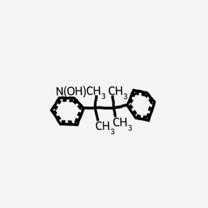 CN(O)C(C)(c1ccccc1)C(C)(C)c1ccccc1